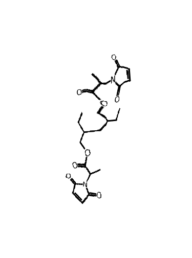 CCC(COC(=O)C(C)N1C(=O)C=CC1=O)CC(CC)COC(=O)C(C)N1C(=O)C=CC1=O